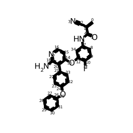 C=C(C#N)C(=O)Nc1ccc(F)c(Oc2ccnc(N)c2-c2ccc(Oc3ccccc3)cc2)c1